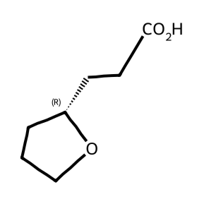 O=C(O)CC[C@H]1CCCO1